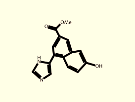 COC(=O)c1cc(-c2cnc[nH]2)c2ccc(O)cc2c1